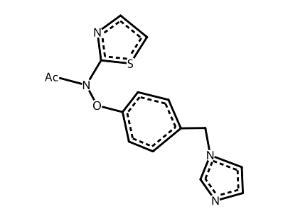 CC(=O)N(Oc1ccc(Cn2ccnc2)cc1)c1nccs1